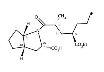 CCOC(=O)[C@H](CCC(C)C)N[C@@H](C)C(=O)N1[C@H](C(=O)O)C[C@@H]2CCC[C@@H]21